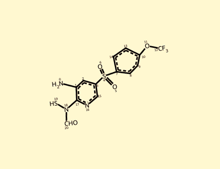 Nc1cc(S(=O)(=O)c2ccc(OC(F)(F)F)cc2)cnc1N(S)C=O